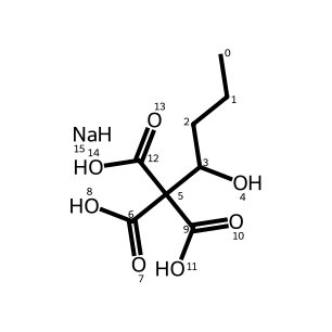 CCCC(O)C(C(=O)O)(C(=O)O)C(=O)O.[NaH]